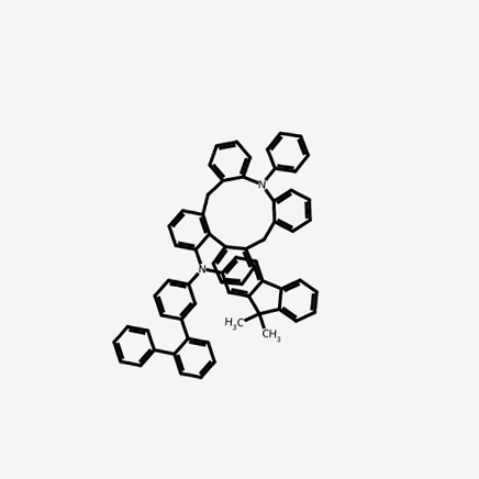 CC1(C)c2ccccc2-c2ccc(N(c3cccc(-c4ccccc4-c4ccccc4)c3)c3cccc4c3-c3ccccc3Cc3ccccc3N(c3ccccc3)c3ccccc3C4)cc21